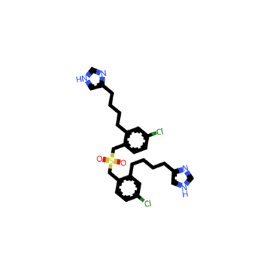 O=S(=O)(Cc1ccc(Cl)cc1CCCCc1c[nH]cn1)Cc1ccc(Cl)cc1CCCCc1c[nH]cn1